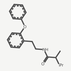 CC(C)C(C)C(=O)NCCc1ccccc1Oc1ccccc1